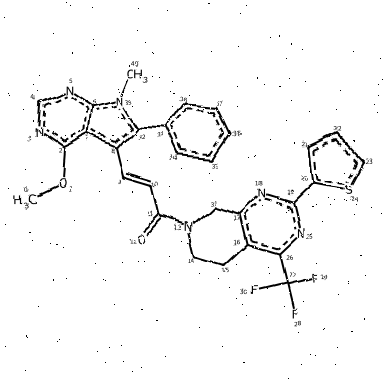 COc1ncnc2c1c(/C=C/C(=O)N1CCc3c(nc(-c4cccs4)nc3C(F)(F)F)C1)c(-c1ccccc1)n2C